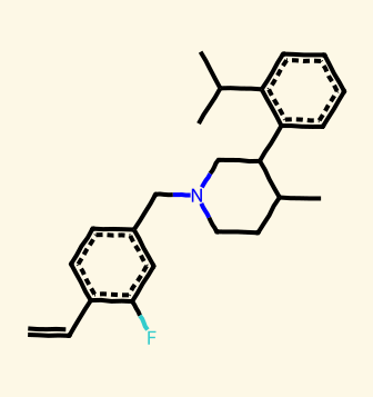 C=Cc1ccc(CN2CCC(C)C(c3ccccc3C(C)C)C2)cc1F